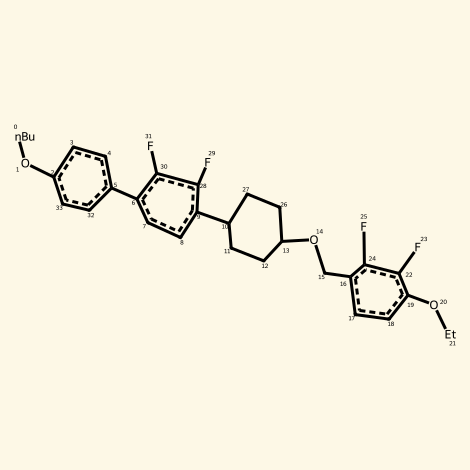 CCCCOc1ccc(-c2ccc(C3CCC(OCc4ccc(OCC)c(F)c4F)CC3)c(F)c2F)cc1